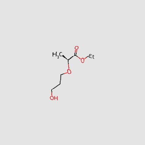 CCOC(=O)[C@H](C)OCCCO